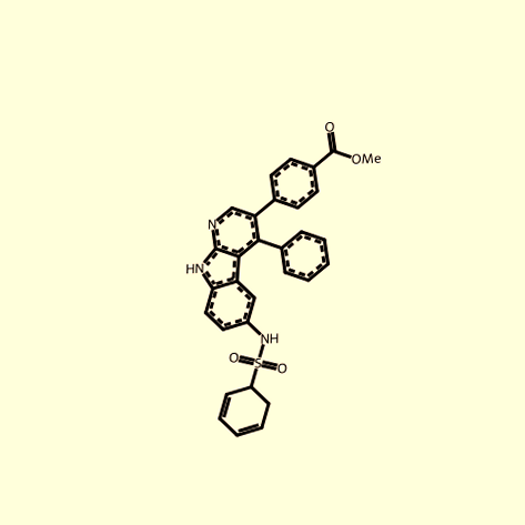 COC(=O)c1ccc(-c2cnc3[nH]c4ccc(NS(=O)(=O)C5C=CC=CC5)cc4c3c2-c2ccccc2)cc1